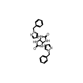 O=C1N[C@]2(c3cnn(Cc4ccccc4)c3)NC(=O)N[C@]2(c2cnn(Cc3ccccc3)c2)N1